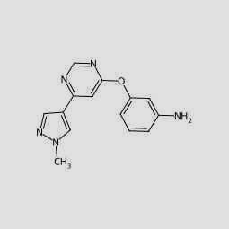 Cn1cc(-c2cc(Oc3cccc(N)c3)ncn2)cn1